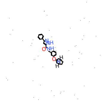 CN1[C@@H]2CC[C@H]1C[C@@H](Oc1cccc(CNC(=O)c3cc(-c4ccccc4)n[nH]3)c1)C2